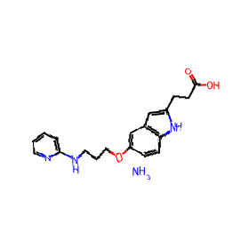 N.O=C(O)CCc1cc2cc(OCCCNc3ccccn3)ccc2[nH]1